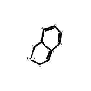 C1=CC2=CCNCC2C=C1